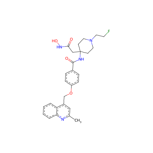 Cc1cc(COc2ccc(C(=O)NC3(CC(=O)NO)CCN(CCF)CC3)cc2)c2ccccc2n1